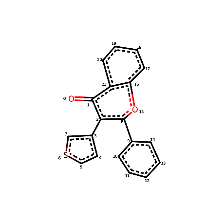 O=c1c(-c2ccsc2)c(-c2ccccc2)oc2ccccc12